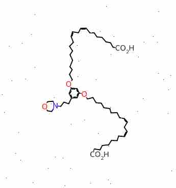 O=C(O)CCCCCCC/C=C\C/C=C\CCCCCCCCCOc1cc(CCCN2CCOCC2)cc(OCCCCCCCCC/C=C\C/C=C\CCCCCCCC(=O)O)c1